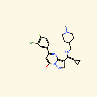 CN1CCC(CNC(=C2CC2)c2cnn3c(O)cc(-c4ccc(F)c(Cl)c4)nc23)CC1